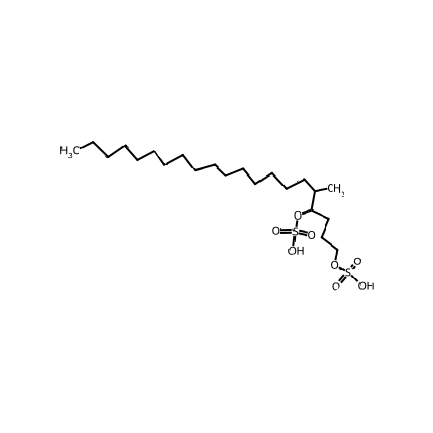 CCCCCCCCCCCCCCCCC(C)C(CCCOS(=O)(=O)O)OS(=O)(=O)O